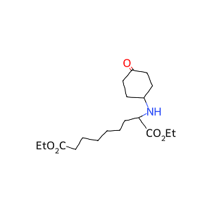 CCOC(=O)CCCCCCC(NC1CCC(=O)CC1)C(=O)OCC